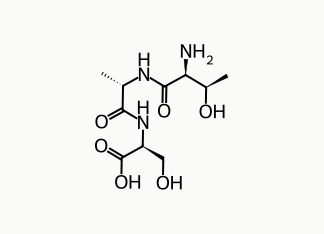 C[C@H](NC(=O)[C@@H](N)[C@@H](C)O)C(=O)N[C@@H](CO)C(=O)O